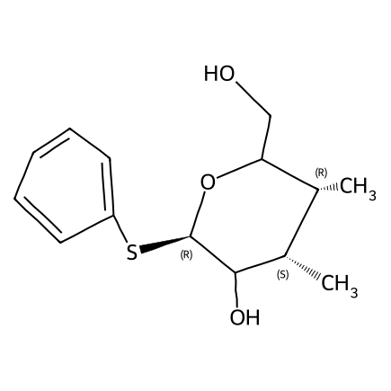 C[C@@H]1C(O)[C@@H](Sc2ccccc2)OC(CO)[C@@H]1C